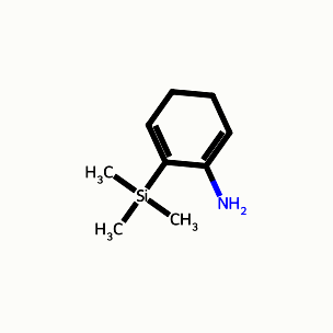 C[Si](C)(C)C1=CCCC=C1N